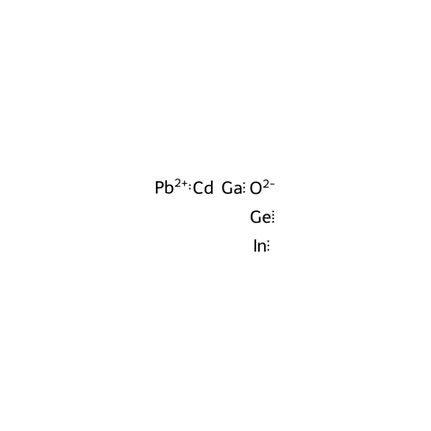 [Cd].[Ga].[Ge].[In].[O-2].[Pb+2]